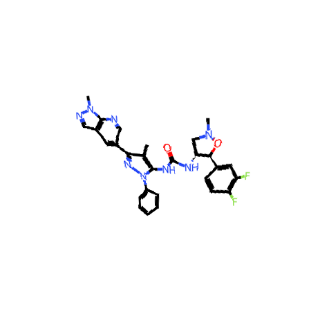 Cc1c(-c2cnc3c(cnn3C)c2)nn(-c2ccccc2)c1NC(=O)N[C@@H]1CN(C)O[C@H]1c1ccc(F)c(F)c1